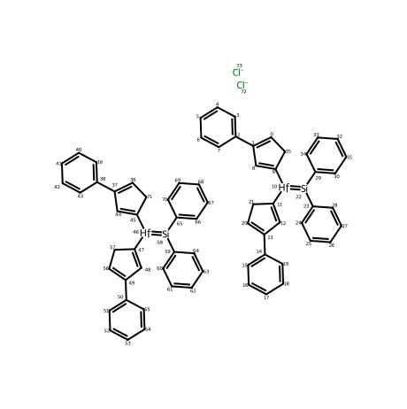 C1=C(c2ccccc2)C=[C]([Hf]([C]2=CC(c3ccccc3)=CC2)=[Si](c2ccccc2)c2ccccc2)C1.C1=C(c2ccccc2)C=[C]([Hf]([C]2=CC(c3ccccc3)=CC2)=[Si](c2ccccc2)c2ccccc2)C1.[Cl-].[Cl-]